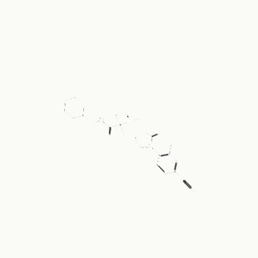 CC#Cc1ccc(N2C[C@H](C[C@](C)(C(=O)NOC3CCCCO3)S(C)(=O)=O)OC2=O)c(C)c1